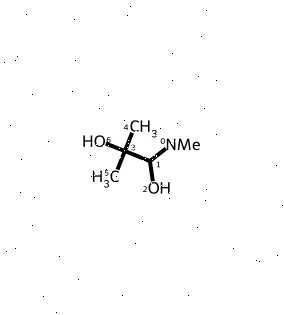 CNC(O)C(C)(C)O